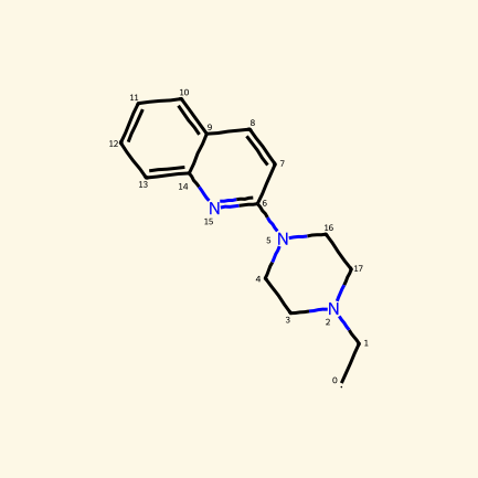 [CH2]CN1CCN(c2ccc3ccccc3n2)CC1